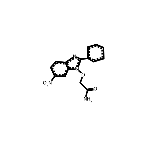 NC(=O)COn1c(-c2ccccc2)nc2ccc([N+](=O)[O-])cc21